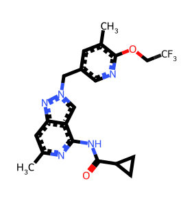 Cc1cc2nn(Cc3cnc(OCC(F)(F)F)c(C)c3)cc2c(NC(=O)C2CC2)n1